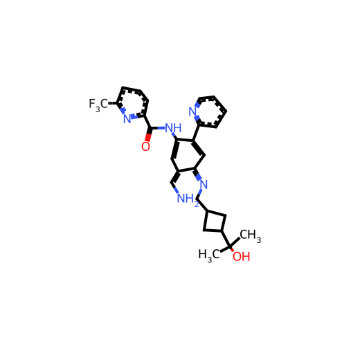 CC(C)(O)C1CC(C/N=C2/C=C(c3ccccn3)C(NC(=O)c3cccc(C(F)(F)F)n3)=C/C2=C/N)C1